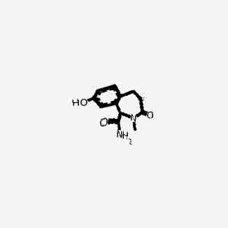 CN1C(=O)[C]Cc2ccc(O)cc2C1C(N)=O